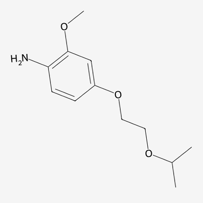 COc1cc(OCCOC(C)C)ccc1N